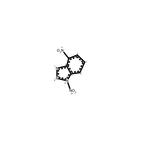 O=[N+]([O-])c1cccc2c1nnn2[N+](=O)[O-]